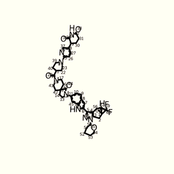 CC12Cc3c(c(-c4cc5ccc(N6CCC7(CCN(C(=O)C8CCN(c9ccc(C%10CCC(=O)NC%10=O)cn9)CC8)CC7)C6=O)cc5[nH]4)nn3C3CCCCO3)C[C@@H]1C2(F)F